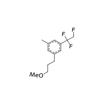 COCCCc1cc(C)cc(C(F)(F)CF)c1